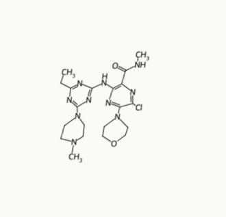 CCc1nc(Nc2nc(N3CCOCC3)c(Cl)nc2C(=O)NC)nc(N2CCN(C)CC2)n1